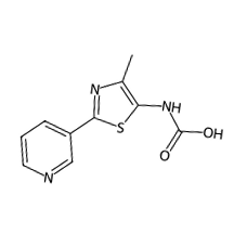 Cc1nc(-c2cccnc2)sc1NC(=O)O